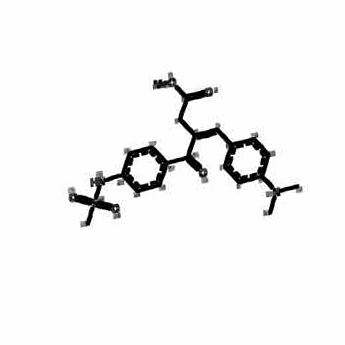 COC(=O)C/C(=C/c1ccc(N(C)C)cc1)C(=O)c1ccc(NS(C)(=O)=O)cc1